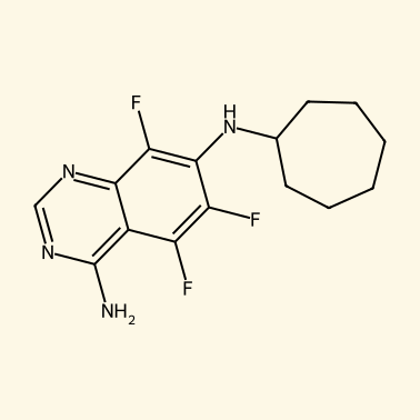 Nc1ncnc2c(F)c(NC3CCCCCC3)c(F)c(F)c12